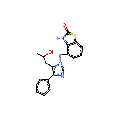 CC(O)Cc1c(-c2ccccc2)ncn1Cc1cccc2sc(=O)[nH]c12